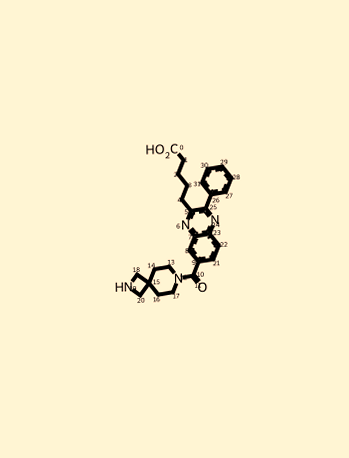 O=C(O)CCCCc1nc2cc(C(=O)N3CCC4(CC3)CNC4)ccc2nc1-c1ccccc1